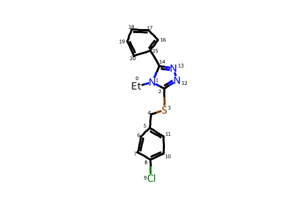 CCn1c(SCc2ccc(Cl)cc2)nnc1-c1ccccc1